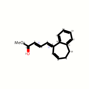 COC(=O)/C=C/C=C1\C=CCCc2ccccc21